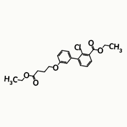 CCOC(=O)CCCOc1cccc(-c2cccc(C(=O)OCC)c2Cl)c1